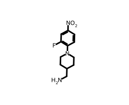 NCC1CCN(c2ccc([N+](=O)[O-])cc2F)CC1